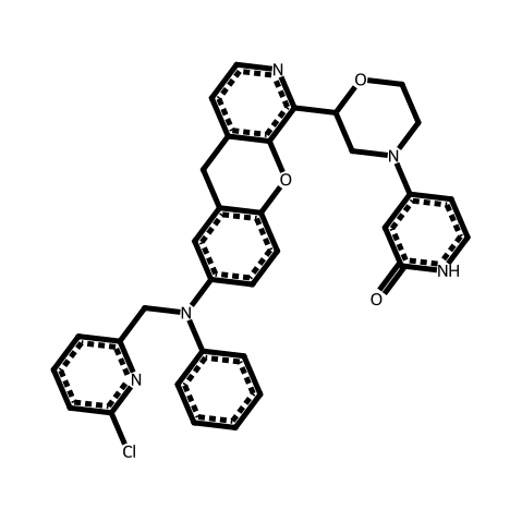 O=c1cc(N2CCOC(c3nccc4c3Oc3ccc(N(Cc5cccc(Cl)n5)c5ccccc5)cc3C4)C2)cc[nH]1